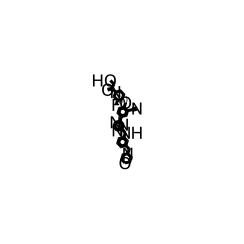 N#Cc1cc(-c2ncnc(Nc3cccc(CN4CCOCC4)c3)n2)ccc1O[C@H]1CCN(C(=O)CO)CC1F